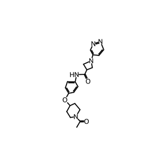 CC(=O)N1CCC(Oc2ccc(NC(=O)C3CN(c4ccnnc4)C3)cc2)CC1